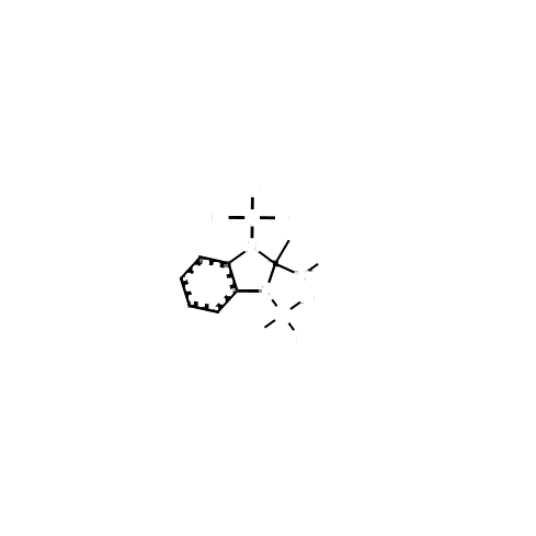 CC[Si](CC)(CC)N1c2ccccc2N([Si](CC)(CC)CC)C1(C)NC(=O)O